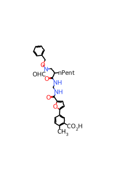 CCCCCC(CN(C=O)OCc1ccccc1)C(=O)NCNC(=O)c1ccc(-c2ccc(C)c(C(=O)O)c2)o1